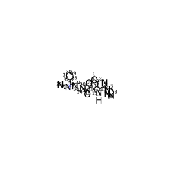 COc1cnc(-n2ccnn2)c2[nH]cc(C(=O)C(=O)N3CCN(/C(=N/C#N)c4ccccc4)CC3)c12